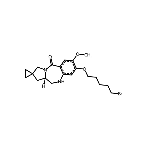 COc1cc2c(cc1OCCCCCBr)NC[C@@H]1CC3(CC3)CN1C2=O